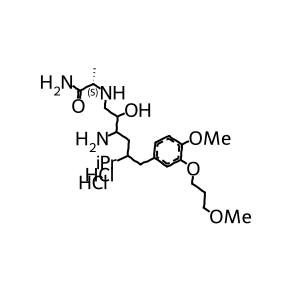 COCCCOc1cc(CC(CC(N)C(O)CN[C@@H](C)C(N)=O)C(C)C)ccc1OC.Cl.Cl